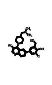 CC(=O)c1cnc2ccc(-c3cc(Cl)c(O)c(CO)c3)cc2c1N1CCC(CN(C)C)CC1